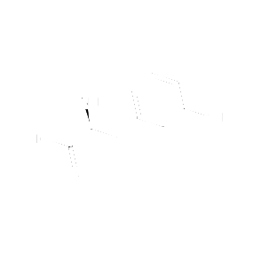 N[C@@H](Cc1cccc(S)c1)C(O)=S